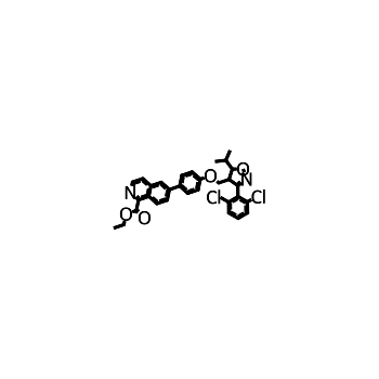 CCOC(=O)c1nccc2cc(-c3ccc(OCC4C(c5c(Cl)cccc5Cl)=NOC4C(C)C)cc3)ccc12